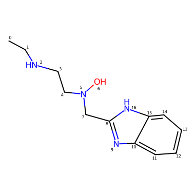 CCNCCN(O)Cc1nc2ccccc2[nH]1